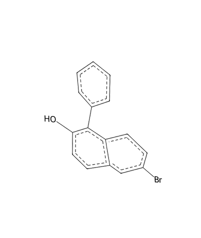 Oc1ccc2cc(Br)ccc2c1-c1ccccc1